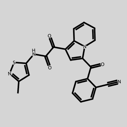 Cc1cc(NC(=O)C(=O)c2cc(C(=O)c3ccccc3C#N)n3ccccc23)sn1